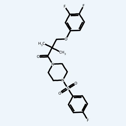 CC(C)(COc1ccc(F)c(F)c1)C(=O)N1CCN(S(=O)(=O)c2ccc(F)cc2)CC1